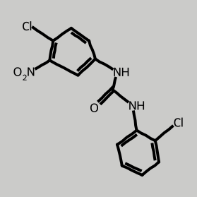 O=C(Nc1ccc(Cl)c([N+](=O)[O-])c1)Nc1ccccc1Cl